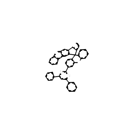 c1ccc(-c2cc(-c3ccccc3)nc(-c3ccc4c(c3)Sc3ccccc3C43c4ccccc4-c4cc5sc6ccccc6c5cc43)n2)cc1